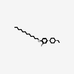 CCCCCCCCCCCCOc1ccc([C@H]2CC[C@H](CC)CC2)cc1F